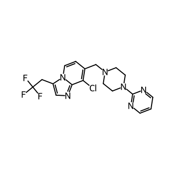 FC(F)(F)Cc1cnc2c(Cl)c(CN3CCN(c4ncccn4)CC3)ccn12